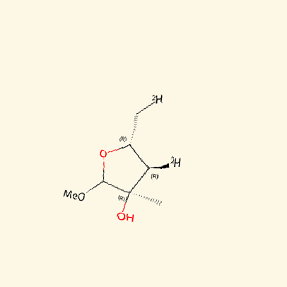 [2H]C[C@H]1OC(OC)[C@](C)(O)[C@@H]1[2H]